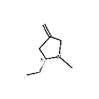 C=C1C[C@@H](CC)N(C)C1